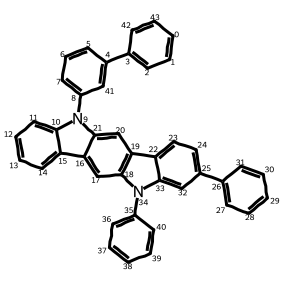 c1ccc(-c2cccc(-n3c4ccccc4c4cc5c(cc43)c3ccc(-c4ccccc4)cc3n5-c3ccccc3)c2)cc1